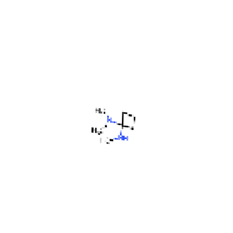 CNC1(N(C)C)CCC1